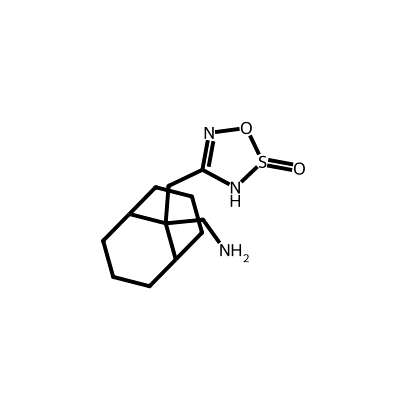 NCC1(CC2=NOS(=O)N2)C2CCCC1CCC2